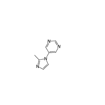 Cc1nccn1-c1cncnc1